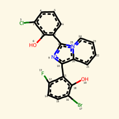 Oc1c(Cl)cccc1-c1nc(-c2c(F)ccc(Br)c2O)c2ccccn12